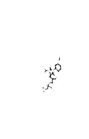 CCOc1cccc(-n2c(=O)n(C(C)C)c3cc(C(=O)N[C@](C)(CC)C[SH](=O)=O)cnc32)c1